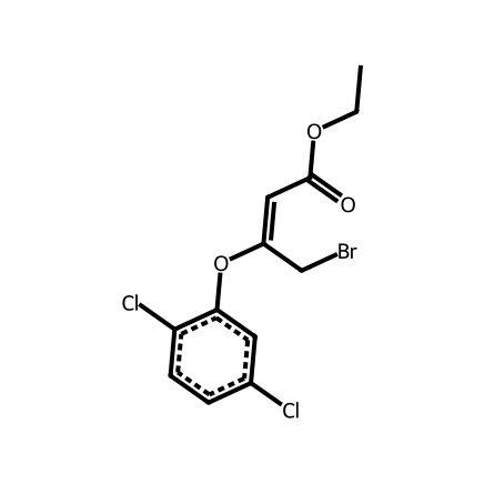 CCOC(=O)C=C(CBr)Oc1cc(Cl)ccc1Cl